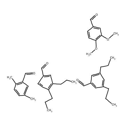 CCCc1cc(C=O)cc(CCC)c1.CCCc1ccc(C=O)cc1CCC.COc1ccc(C=O)cc1OC.Cc1ccc(C)c(C=O)c1